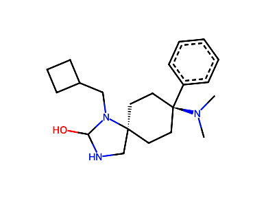 CN(C)[C@]1(c2ccccc2)CC[C@]2(CC1)CNC(O)N2CC1CCC1